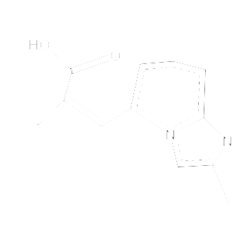 CCC(=Cc1cccc2nc(C)cn12)C(=O)O